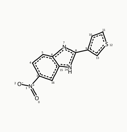 O=[N+]([O-])c1ccc2nc(-c3ccsc3)[nH]c2c1